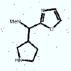 CNC(c1ncco1)C1CCNC1